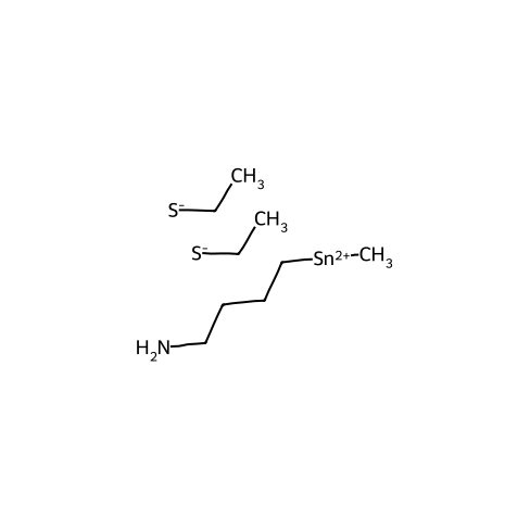 CC[S-].CC[S-].[CH3][Sn+2][CH2]CCCN